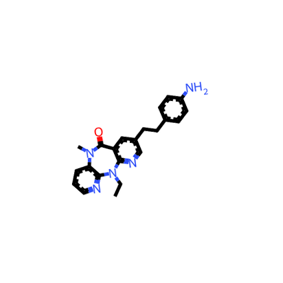 CCN1c2ncc(CCc3ccc(N)cc3)cc2C(=O)N(C)c2cccnc21